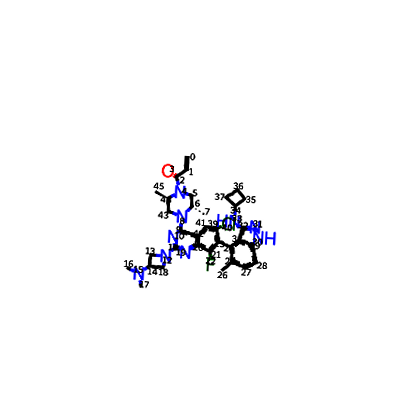 C=CC(=O)N1C[C@H](C)N(c2nc(N3CC(N(C)C)C3)nc3c(F)c(-c4c(C)ccc5[nH]nc(NC6CCC6)c45)c(Cl)cc23)C[C@H]1C